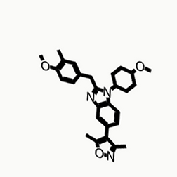 COc1ccc(Cc2nc3cc(-c4c(C)noc4C)ccc3n2C2CCC(OC)CC2)cc1C